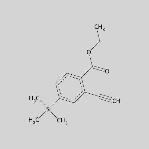 C#Cc1cc([Si](C)(C)C)ccc1C(=O)OCC